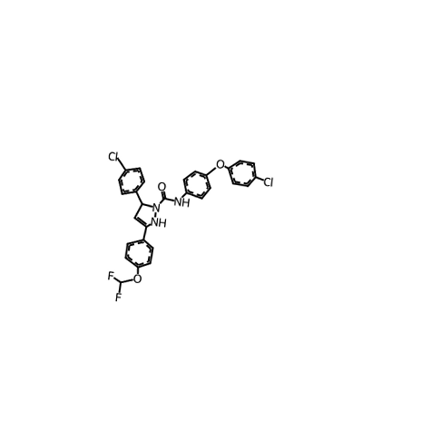 O=C(Nc1ccc(Oc2ccc(Cl)cc2)cc1)N1NC(c2ccc(OC(F)F)cc2)=CC1c1ccc(Cl)cc1